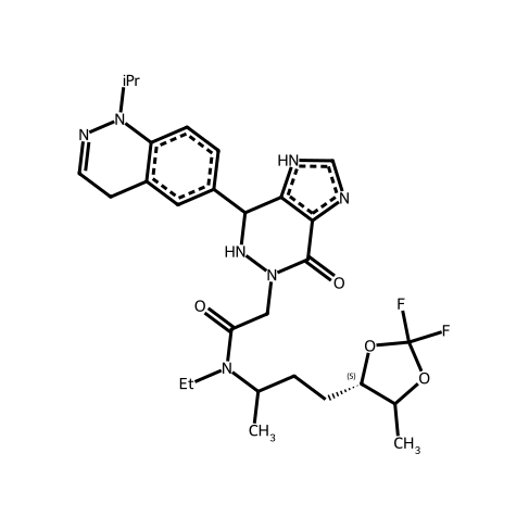 CCN(C(=O)CN1NC(c2ccc3c(c2)CC=NN3C(C)C)c2[nH]cnc2C1=O)C(C)CC[C@@H]1OC(F)(F)OC1C